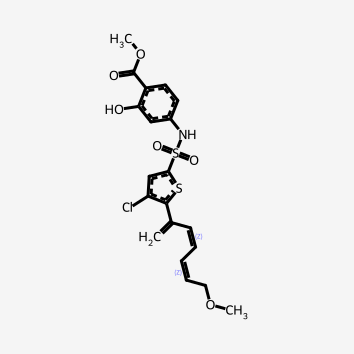 C=C(/C=C\C=C/COC)c1sc(S(=O)(=O)Nc2ccc(C(=O)OC)c(O)c2)cc1Cl